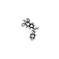 CN1C(=O)Cc2cc(NCCN3CCOCC3)ccc2C1=O